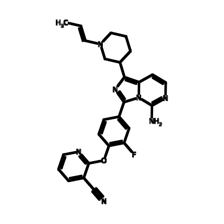 CC=CN1CCCC(c2nc(-c3ccc(Oc4ncccc4C#N)c(F)c3)n3c(N)nccc23)C1